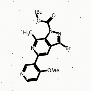 COc1ccncc1-c1cc2c(Br)nn(C(=O)OC(C)(C)C)c2c(C)n1